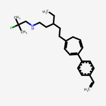 C=Cc1ccc(C2=CC=C(CCC(CC)CCNCC(C)(C)F)CC=C2)cc1